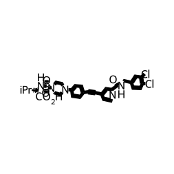 CC(C)[C@@H](NS(=O)(=O)N1CCN(c2ccc(C#Cc3ccnc(C(=O)NCc4ccc(Cl)c(Cl)c4)c3)cc2)CC1)C(=O)O